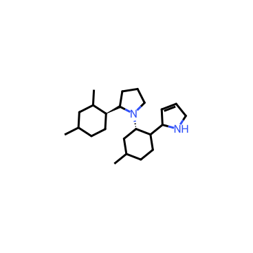 CC1CC[C@H](C2CCCN2[C@H]2CC(C)CCC2C2C=CCN2)C(C)C1